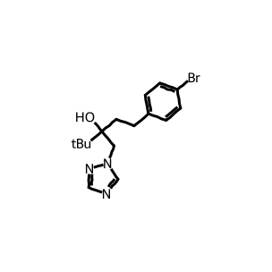 CC(C)(C)C(O)(CCc1ccc(Br)cc1)Cn1cncn1